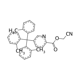 Cc1ccccc1C(c1ccc(C(=O)OCC#N)nc1)(c1ccccc1C)c1ccccc1C